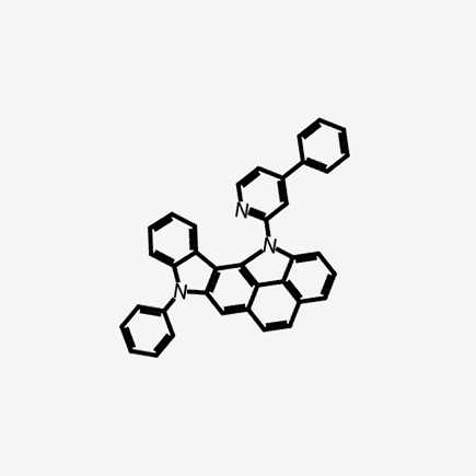 c1ccc(-c2ccnc(-n3c4cccc5ccc6cc7c(c8ccccc8n7-c7ccccc7)c3c6c54)c2)cc1